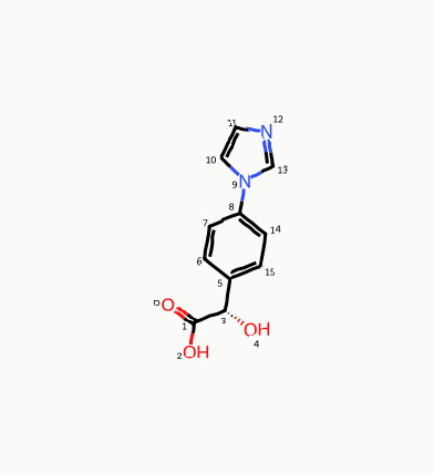 O=C(O)[C@@H](O)c1ccc(-n2ccnc2)cc1